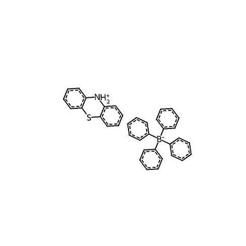 c1ccc([B-](c2ccccc2)(c2ccccc2)c2ccccc2)cc1.c1ccc2c(c1)[NH2+]c1ccccc1S2